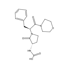 O=C(O)N[C@H]1CCN([C@@H](Cc2ccccc2)C(=O)N2CCOCC2)C1=O